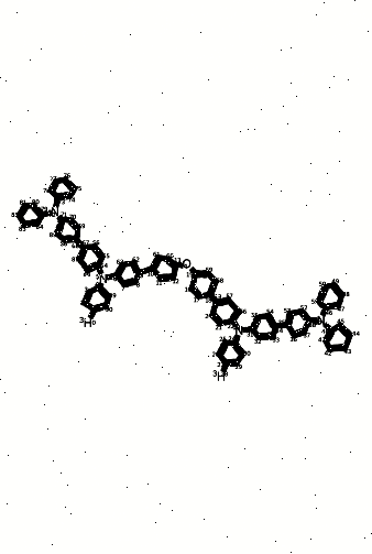 [3H]c1ccc(N(c2ccc(-c3ccc(Oc4ccc(-c5ccc(N(c6ccc([3H])cc6)c6ccc(-c7ccc(N(c8ccccc8)c8ccccc8)cc7)cc6)cc5)cc4)cc3)cc2)c2ccc(-c3ccc(N(c4ccccc4)c4ccccc4)cc3)cc2)cc1